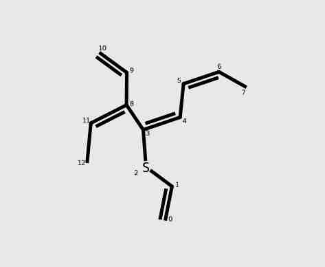 C=CSC(=C/C=C\C)/C(C=C)=C\C